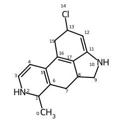 CC1NC=CC2=C1CC1CNC3=CC(Cl)CC2=C31